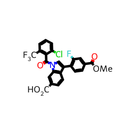 COC(=O)c1ccc(-c2cn(C(=O)c3c(Cl)cccc3C(F)(F)F)c3cc(C(=O)O)ccc23)c(F)c1